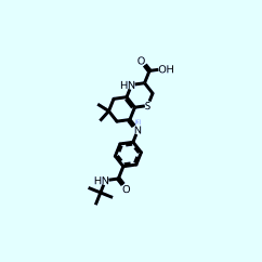 CC1(C)CC2=C(SCC(C(=O)O)N2)/C(=N/c2ccc(C(=O)NC(C)(C)C)cc2)C1